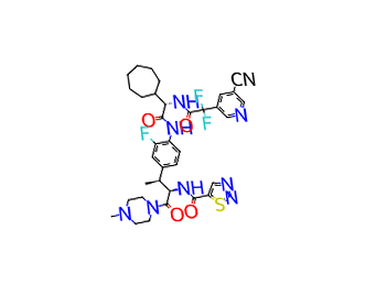 C[C@@H](c1ccc(NC(=O)[C@@H](NC(=O)C(F)(F)c2cncc(C#N)c2)C2CCCCCC2)c(F)c1)[C@@H](NC(=O)c1cnns1)C(=O)N1CCN(C)CC1